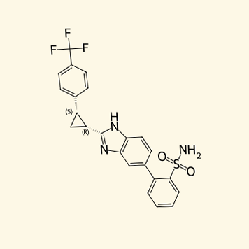 NS(=O)(=O)c1ccccc1-c1ccc2[nH]c([C@@H]3C[C@@H]3c3ccc(C(F)(F)F)cc3)nc2c1